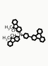 CC1(C)c2ccccc2-c2ccc(N(c3ccc(-c4ccc5c6ccccc6c6ccccc6c5c4)cc3)c3ccc4c(c3)C(C)(C)c3ccccc3-4)cc21